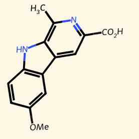 COc1ccc2[nH]c3c(C)nc(C(=O)O)cc3c2c1